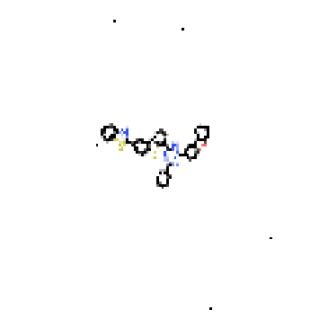 c1ccc(-c2nc(-c3ccc4oc5ccccc5c4c3)nc(-c3cccc4c3sc3ccc(-c5nc6ccccc6s5)cc34)n2)cc1